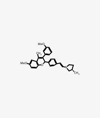 COc1cccc(C2=C(C)c3cc(OC)ccc3OC2c2ccc(C=CN3CC[C@@H](C)C3)cc2)c1